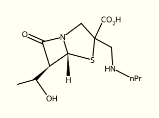 CCCNCC1(C(=O)O)CN2C(=O)[C@H](C(C)O)[C@H]2S1